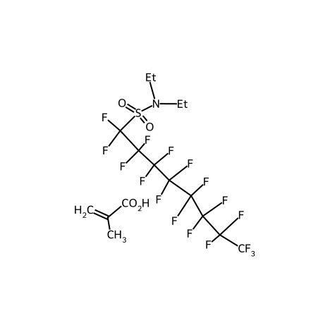 C=C(C)C(=O)O.CCN(CC)S(=O)(=O)C(F)(F)C(F)(F)C(F)(F)C(F)(F)C(F)(F)C(F)(F)C(F)(F)C(F)(F)F